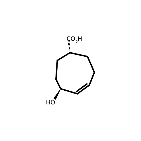 O=C(O)[C@@H]1CC/C=C\[C@@H](O)CC1